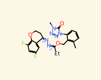 CC/C(=N/N=C1/CCOc2c(F)cc(F)cc21)OCc1c(C)cccc1-n1nnn(C)c1=O